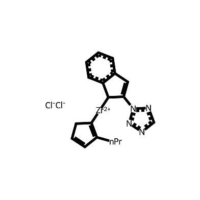 CCCC1=[C]([Zr+2][CH]2C(n3ncnn3)=Cc3ccccc32)CC=C1.[Cl-].[Cl-]